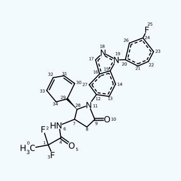 CC(F)(F)C(=O)NC1CC(=O)N(c2ccc3c(cnn3-c3cccc(F)c3)c2)[C@@H]1C1C=CC=CC1